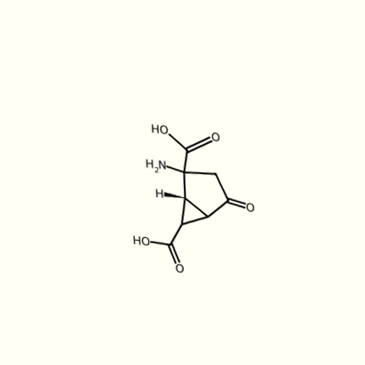 NC1(C(=O)O)CC(=O)C2C(C(=O)O)[C@@H]21